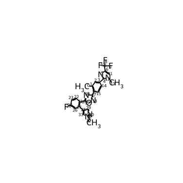 Cc1cc(-c2nc(C(F)(F)F)cn2C)ccc1-c1noc(-c2ccc(F)cc2-c2cnn(C)c2)n1